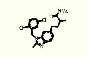 CNC(=O)C(C)CCc1ccc2nc(C)n(Cc3cc(Cl)ccc3Cl)c2c1